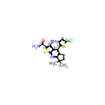 CC1(C)CCc2c1nc1sc(C(N)=O)c(N)c1c2-c1ccc(Cl)s1